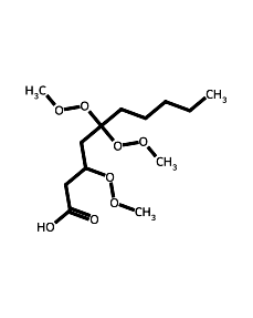 CCCCCC(CC(CC(=O)O)OOC)(OOC)OOC